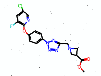 COC(=O)C1CN(Cc2nnn(-c3ccc(Oc4ncc(Cl)cc4F)cc3)n2)C1